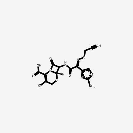 C#CCON=C(C(=O)NC1C(=O)N2C(C(=O)O)=C(Cl)CS[C@@H]12)c1csc(N)n1